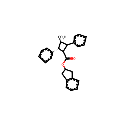 O=C(OC1Cc2ccccc2C1)C1C(c2ccccc2)[C@H](C(=O)O)[C@H]1c1ccccc1